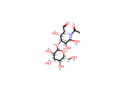 CC(=O)N[C@@H](C=O)[C@@H](O)[C@H](OC1O[C@H](CO)[C@@H](O)[C@H](O)[C@H]1O)[C@H](O)CO